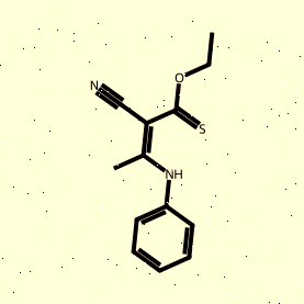 CCOC(=S)C(C#N)=C(C)Nc1ccccc1